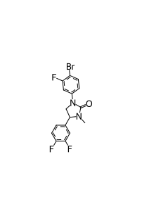 CN1C(=O)N(c2ccc(Br)c(F)c2)CC1c1ccc(F)c(F)c1